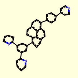 c1ccc(-c2cc(-c3ccccn3)cc(-c3ccc4ccc5c(-c6ccc(-c7ccncc7)cc6)ccc6ccc3c4c65)c2)nc1